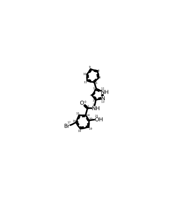 O=C(Nc1cc(-c2ccccc2)[nH]n1)c1cc(Br)ccc1O